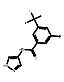 O=C(Nc1cn[nH]c1)c1cc(F)cc(C(F)(F)F)c1